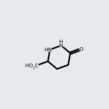 O=C1CCC(C(=O)O)NN1